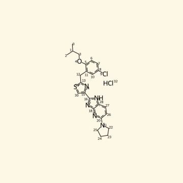 CC(C)COc1ccc(Cl)cc1Cc1nc(-c2nc3nc(N4CCCC4)ccc3[nH]2)cs1.Cl